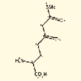 CSC(=O)CC(=O)CCC(N)C(=O)O